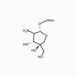 CCCCCCO[C@@H]1OC[C@](O)(CO)[C@H](O)C1N